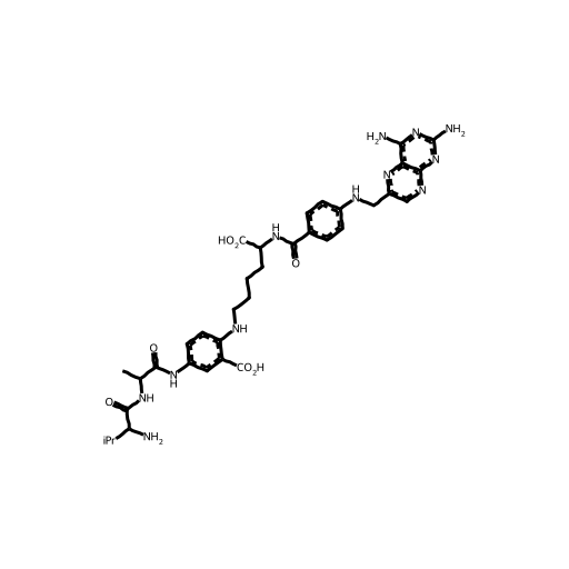 CC(NC(=O)C(N)C(C)C)C(=O)Nc1ccc(NCCCCC(NC(=O)c2ccc(NCc3cnc4nc(N)nc(N)c4n3)cc2)C(=O)O)c(C(=O)O)c1